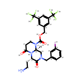 NCC[C@H]1C(=O)N(Cc2cccc(I)c2)C[C@@H]2N(C(=O)OCc3cc(C(F)(F)F)cc(C(F)(F)F)c3)CCC(=O)N21